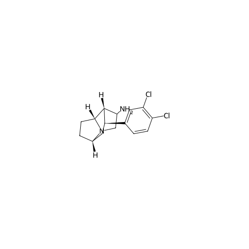 NC1CN2[C@H]3CC[C@@H]2[C@H]1[C@@H](c1ccc(Cl)c(Cl)c1)C3